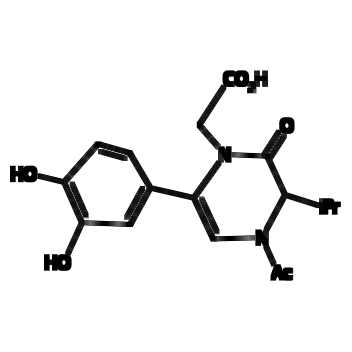 CC(=O)N1C=C(c2ccc(O)c(O)c2)N(CC(=O)O)C(=O)C1C(C)C